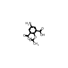 CC(=O)Oc1c(C(C)=O)cc(N)cc1C(=O)O